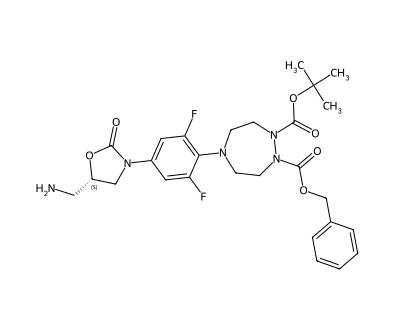 CC(C)(C)OC(=O)N1CCN(c2c(F)cc(N3C[C@H](CN)OC3=O)cc2F)CCN1C(=O)OCc1ccccc1